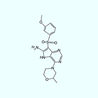 COc1cccc(S(=O)(=O)c2c(N)[nH]c3c(N4CCOC(C)C4)ncnc23)c1